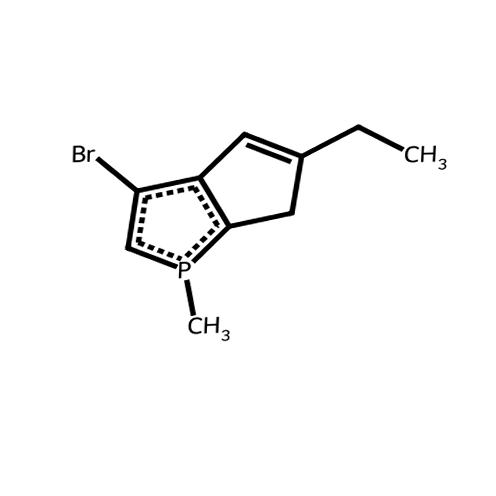 CCC1=Cc2c(Br)cp(C)c2C1